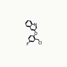 Fc1ccc(Oc2cnc3ccccc3c2)c(CCl)c1